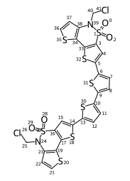 O=S1(=O)c2cc(-c3ccc(-c4ccc(-c5cc6c(s5)-c5sccc5N(CCl)S6(=O)=O)s4)s3)sc2-c2sccc2N1CCl